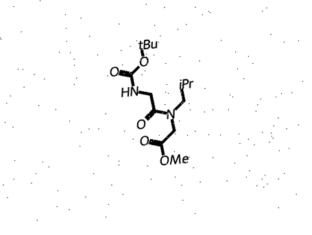 COC(=O)CN(CC(C)C)C(=O)CNC(=O)OC(C)(C)C